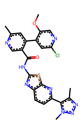 COc1cnc(Cl)cc1-c1cc(C)ncc1C(=O)Nc1nc2ccc(-c3c(C)nnn3C)nc2s1